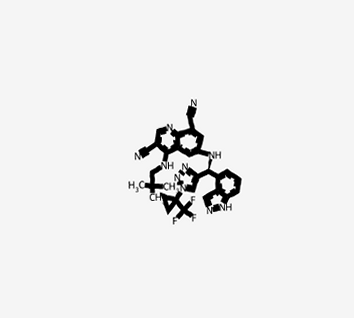 CC(C)(C)CNc1c(C#N)cnc2c(C#N)cc(N[C@H](c3cn(C4(C(F)(F)F)CC4)nn3)c3cccc4[nH]ncc34)cc12